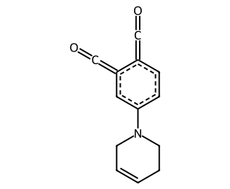 O=C=c1ccc(N2CC=CCC2)cc1=C=O